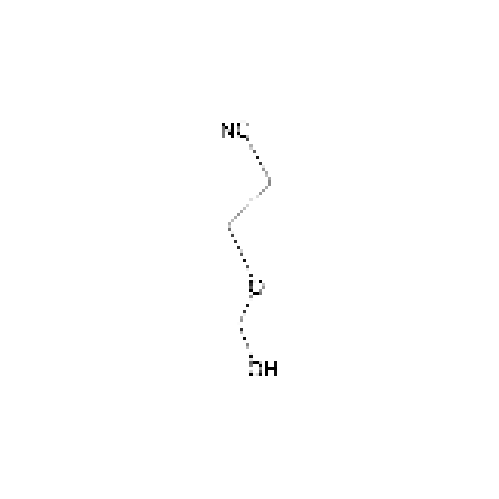 N#CCCOCO